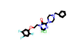 Cl.O=c1c(N2CCN(Cc3ccccc3)CC2)nccn1CCOc1cc(F)c(F)cc1F